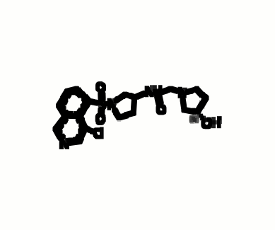 O=C(CN1CC[C@H](O)C1)NC1CCN(S(=O)(=O)c2cccc3cncc(Cl)c23)C1